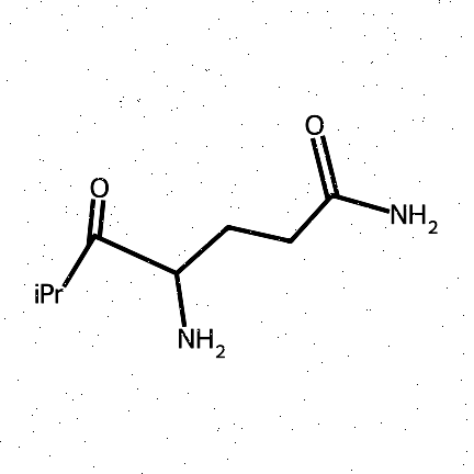 CC(C)C(=O)C(N)CCC(N)=O